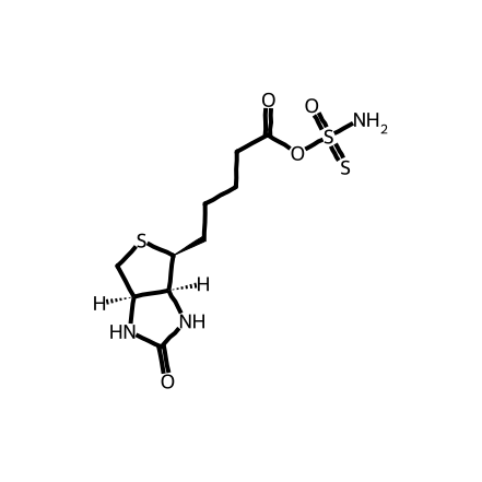 NS(=O)(=S)OC(=O)CCCC[C@@H]1SC[C@@H]2NC(=O)N[C@@H]21